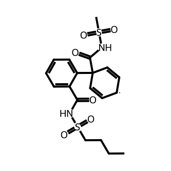 CCCCS(=O)(=O)NC(=O)c1ccccc1C1(C(=O)NS(C)(=O)=O)C=C[CH]C=C1